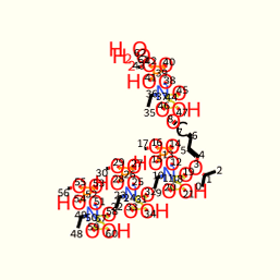 CC(C)OC=CC=C=O.CCN(OP(=O)(O)OC)S(=O)(=O)O.CCN(OP(=O)(O)OC)S(=O)(=O)O.CCN(OP(=O)(O)OC)S(=O)(=O)O.CCN(OP(=O)(O)OC)S(=O)(=O)O.O.O